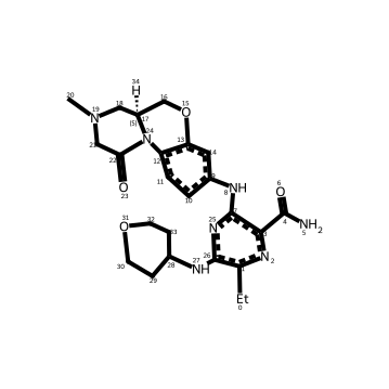 CCc1nc(C(N)=O)c(Nc2ccc3c(c2)OC[C@@H]2CN(C)CC(=O)N32)nc1NC1CCOCC1